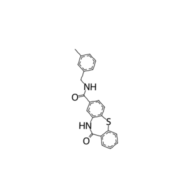 Cc1cccc(CNC(=O)c2ccc3c(c2)NC(=O)c2ccccc2S3)c1